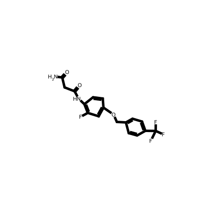 NC(=O)CC(=O)Nc1ccc(OCc2ccc(C(F)(F)F)cc2)cc1F